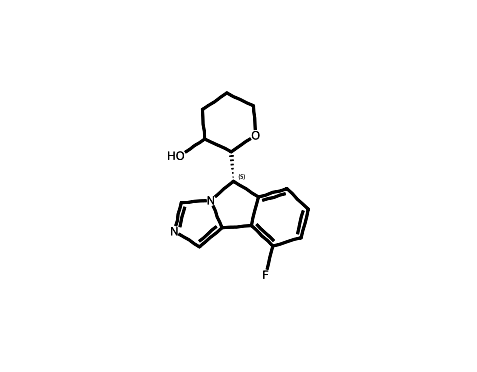 OC1CCCOC1[C@@H]1c2cccc(F)c2-c2cncn21